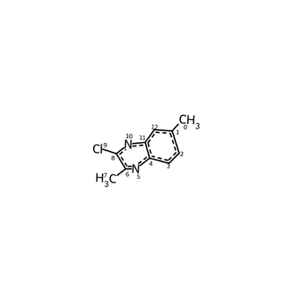 Cc1ccc2nc(C)c(Cl)nc2c1